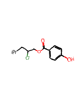 CC(C)CC(Cl)COC(=O)c1ccc(O)cc1